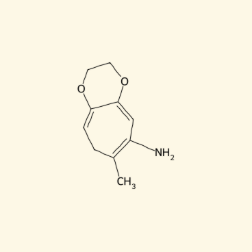 CC1=C(N)C=C2OCCOC2=CC1